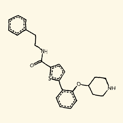 O=C(NCCc1ccccc1)c1ccc(-c2ccccc2OC2CCNCC2)s1